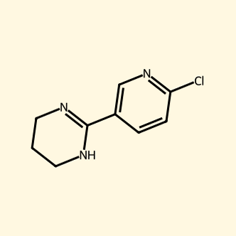 Clc1ccc(C2=NCCCN2)cn1